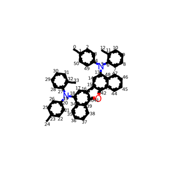 Cc1ccc(N(c2ccccc2C)c2cc3c4cc(N(c5ccc(C)cc5)c5ccccc5C)c5ccccc5c4oc3c3ccccc23)cc1